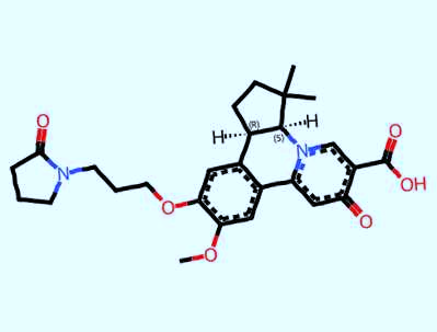 COc1cc2c(cc1OCCCN1CCCC1=O)[C@H]1CCC(C)(C)[C@H]1n1cc(C(=O)O)c(=O)cc1-2